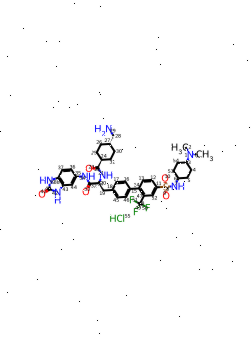 CN(C)C1CCC(NS(=O)(=O)c2ccc(-c3ccc(C[C@H](NC(=O)[C@H]4CC[C@H](CN)CC4)C(=O)Nc4ccc5[nH]c(=O)[nH]c5c4)cc3)c(C(F)(F)F)c2)CC1.Cl